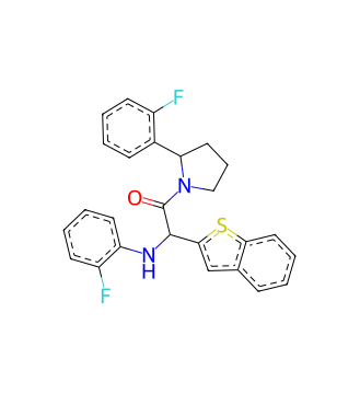 O=C(C(Nc1ccccc1F)c1cc2ccccc2s1)N1CCCC1c1ccccc1F